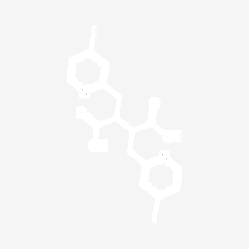 O=C(O)C(Cc1cc(I)ccn1)C(Cc1cc(I)ccn1)C(=O)O